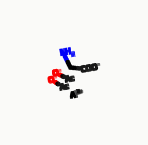 CC(=O)[O-].CC(=O)[O-].NCC(=O)[O-].[Al+3]